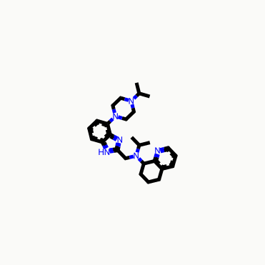 CC(C)N1CCN(c2cccc3[nH]c(CN(C(C)C)C4CCCc5cccnc54)nc23)CC1